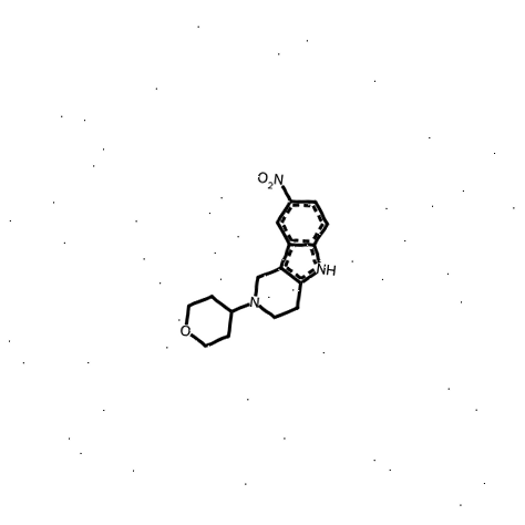 O=[N+]([O-])c1ccc2[nH]c3c(c2c1)CN(C1CCOCC1)CC3